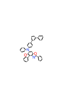 c1ccc(-c2cccc(-c3ccc(N(c4ccccc4)c4cc5oc(-c6ccccc6)nc5c5c4oc4ccccc45)cc3)c2)cc1